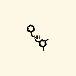 Cc1cc(C)cc(CNCc2ccccc2)c1